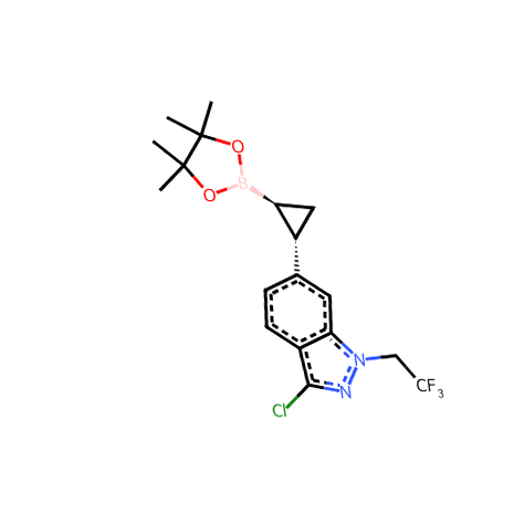 CC1(C)OB([C@H]2C[C@@H]2c2ccc3c(Cl)nn(CC(F)(F)F)c3c2)OC1(C)C